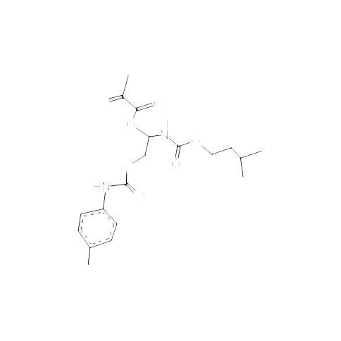 C=C(C)C(=O)OC(COC(=O)Nc1ccc(C)cc1)NC(=O)OCCC(C)C